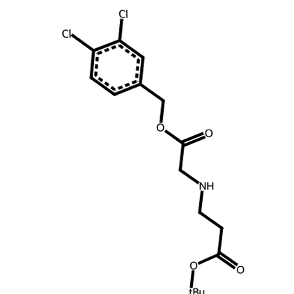 CC(C)(C)OC(=O)CCNCC(=O)OCc1ccc(Cl)c(Cl)c1